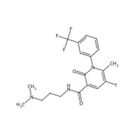 Cc1c(I)cc(C(=O)NCCCN(C)C)c(=O)n1-c1cccc(C(F)(F)F)c1